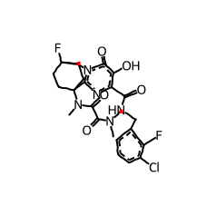 CN(C)C(=O)C(=O)N(C)C12CCC(F)(CC1)Cn1c2nc(C(=O)NCc2cccc(Cl)c2F)c(O)c1=O